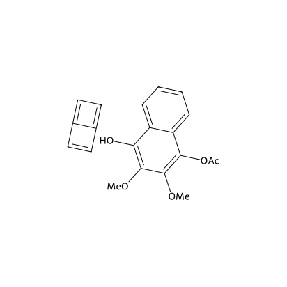 COc1c(OC)c(OC(C)=O)c2ccccc2c1O.c1cc2ccc1-2